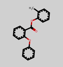 Cc1ccccc1OC(=O)c1ccccc1Oc1ccccc1